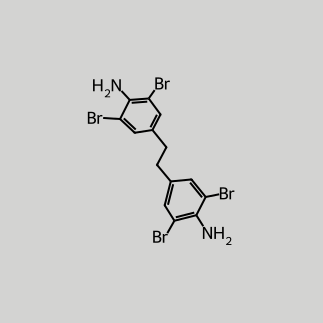 Nc1c(Br)cc(CCc2cc(Br)c(N)c(Br)c2)cc1Br